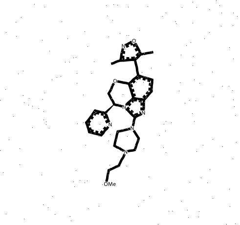 COCCN1CCN(c2nc3ccc(-c4c(C)noc4C)c4c3n2[C@@H](c2ccccn2)CO4)CC1